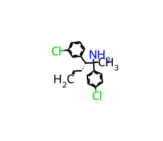 C=CC[C@H](c1cccc(Cl)c1)C(C)(N)c1ccc(Cl)cc1